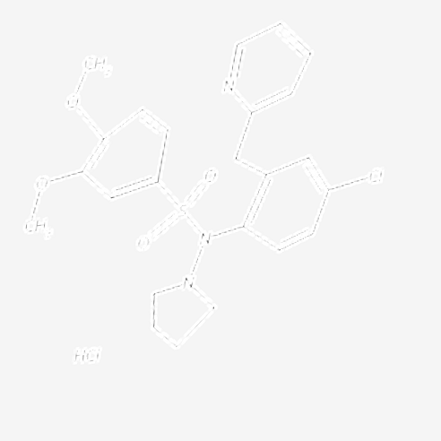 COc1ccc(S(=O)(=O)N(c2ccc(Cl)cc2Cc2ccccn2)N2CCCC2)cc1OC.Cl